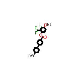 CCCc1ccc(-c2ccc(C(=O)Oc3ccc(OCC)c(F)c3C(F)F)cc2)cc1